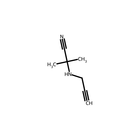 C#CCNC(C)(C)C#N